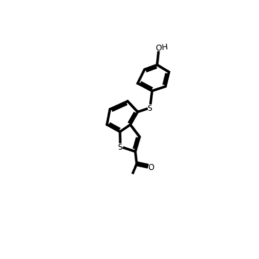 CC(=O)c1cc2c(Sc3ccc(O)cc3)cccc2s1